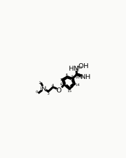 CN(C)CCOc1ccc(C(=N)NO)cc1